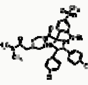 CCOc1cc(S(C)(=O)=O)ccc1C1(C(=O)N2CCN(CC(=O)N(C)C)CC2)NC(c2ccc(Cl)cc2)C(c2ccc(Cl)cc2)N1